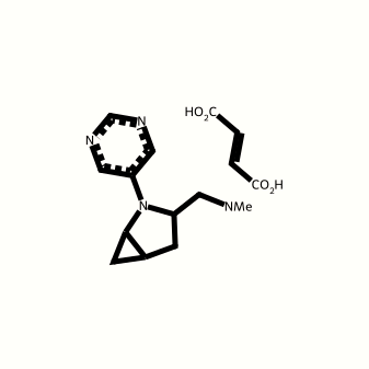 CNCC1CC2CC2N1c1cncnc1.O=C(O)C=CC(=O)O